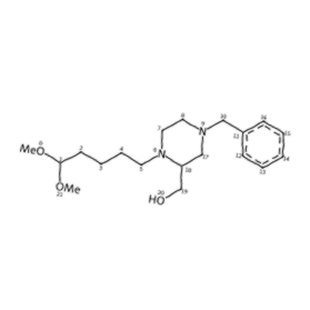 COC(CCCCN1CCN(Cc2ccccc2)CC1CO)OC